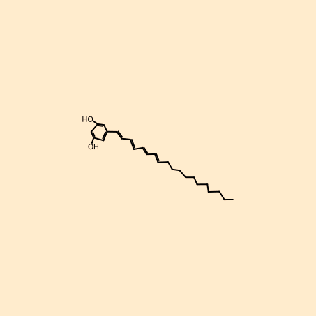 CCCCCCCCCCCC=CC=CC=CC=Cc1cc(O)cc(O)c1